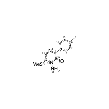 CSc1nnc(-c2ccc(C)cc2)c(=O)n1N